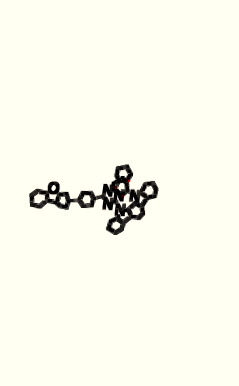 c1ccc(-c2nc(-c3ccc(-c4ccc5c(c4)oc4ccccc45)cc3)nc(-n3c4ccccc4c4ccc5c6ccccc6n(-c6ccccc6)c5c43)n2)cc1